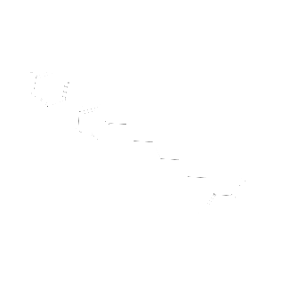 CCCN(N)C(=O)CCCCCCCn1cc(-c2cccnc2)nn1